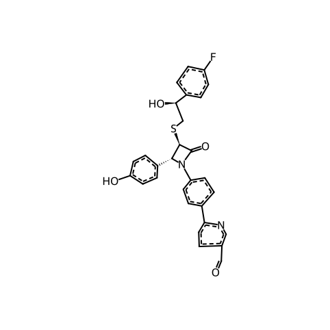 O=Cc1ccc(-c2ccc(N3C(=O)[C@H](SC[C@@H](O)c4ccc(F)cc4)[C@H]3c3ccc(O)cc3)cc2)nc1